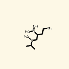 CC(C)N(O)CC(CCO)N(O)O